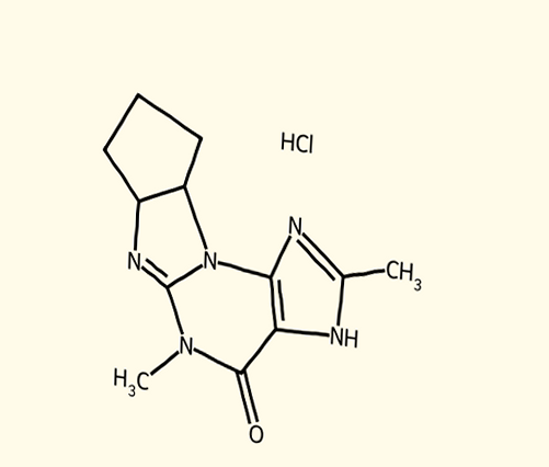 Cc1nc2c([nH]1)C(=O)N(C)C1=NC3CCCC3N12.Cl